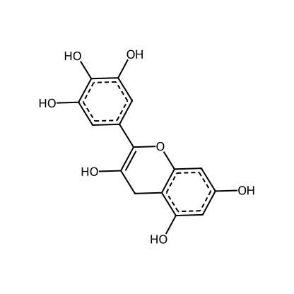 OC1=C(c2cc(O)c(O)c(O)c2)Oc2cc(O)cc(O)c2C1